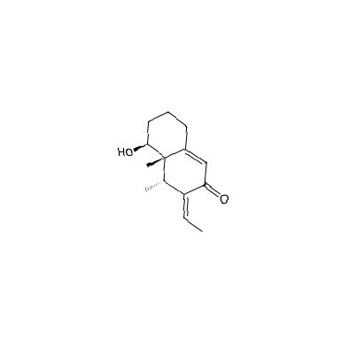 CC=C1C(=O)C=C2CCC[C@H](O)[C@@]2(C)[C@H]1C